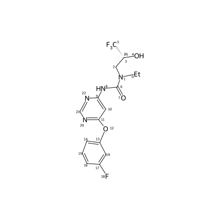 CCN(C[C@@H](O)C(F)(F)F)C(=O)Nc1cc(Oc2cccc(F)c2)ncn1